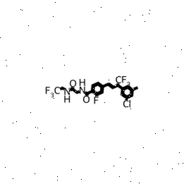 Cc1cc(Cl)cc(C(/C=C/c2ccc(C(=O)NCC(=O)NCC(F)(F)F)c(F)c2)C(F)(F)F)c1